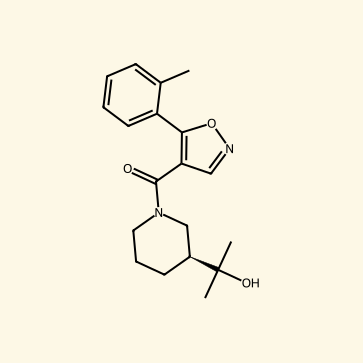 Cc1ccccc1-c1oncc1C(=O)N1CCC[C@H](C(C)(C)O)C1